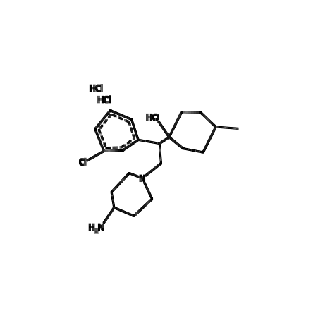 CC1CCC(O)(C(CN2CCC(N)CC2)c2cccc(Cl)c2)CC1.Cl.Cl